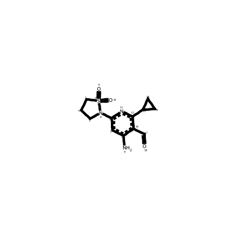 Nc1cc(N2CCCS2(=O)=O)nc(C2CC2)c1C=O